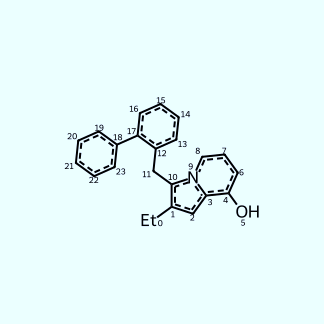 CCc1cc2c(O)cccn2c1Cc1ccccc1-c1ccccc1